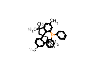 Cc1ccc2c(c1)C(C)(C)C[C@]21CC(C)(C)c2cc(C)cc(P(c3ccccc3)c3ccccc3)c21